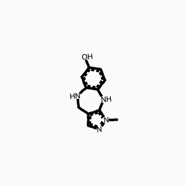 Cn1ncc2c1Nc1ccc(O)cc1NC2